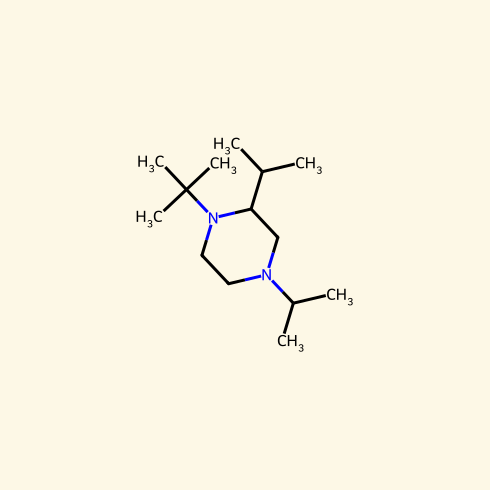 CC(C)C1CN(C(C)C)CCN1C(C)(C)C